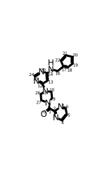 O=C(c1ncccn1)N1CCN(c2cc(NCc3ccccc3)ncn2)CC1